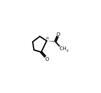 CC(=O)[C@H]1CCCC1=O